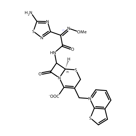 CO/N=C(\C(=O)NC1C(=O)N2C(C(=O)[O-])=C(C[n+]3cccc4ccsc43)CS[C@H]12)c1nsc(N)n1